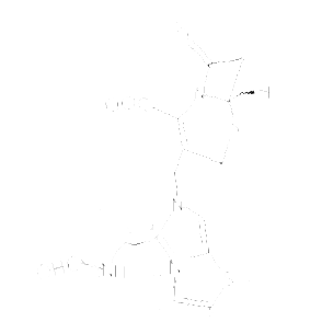 C[C@@H](NC=O)c1n(CC2=C(C(=O)[O-])N3C(=O)C[C@@H]3SC2)cc2scc[n+]12